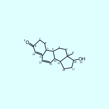 CC12CCC3C4CCC(=O)C=C4C=CC3C1CCC2O